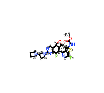 CC(C)(C)OC(=O)Nc1sc2c(F)cnc(-c3c4c(c5cnc(N6CC[C@H](N7CCCC7)C6)nc5c3F)COC4)c2c1C#N